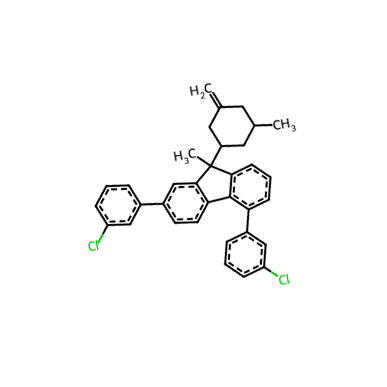 C=C1CC(C)CC(C2(C)c3cc(-c4cccc(Cl)c4)ccc3-c3c(-c4cccc(Cl)c4)cccc32)C1